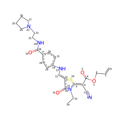 C=CCOC(=O)C(C#N)=c1sc(=CNc2ccc(C(=O)NCCN3CCCC3)cc2)c(=O)n1CC